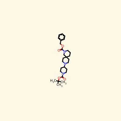 CC(C)(C)OC(=O)N1CCC(N2CCC3(CCCN(C(=O)OCc4ccccc4)C3)CC2)CC1